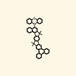 CC1(C)c2cc3c(cc2-c2cc4c5ccccc5c5ccccc5c4cc21)C(C)(C)c1cc(N2c4ccccc4Sc4ccccc42)c2ccccc2c1-3